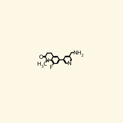 CN1C(=O)CCc2cc(-c3cncc(CN)c3)cc(F)c21